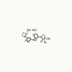 Cl.Cn1nc(Nc2cc(N3CC[C@@](C#N)(C4CC4)C3=O)ccn2)cc1N1CCC[C@@H]1CO